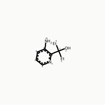 CCC(O)(CC)c1ncccc1N